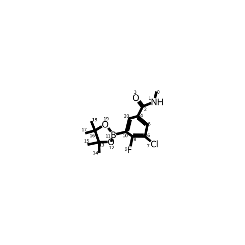 CNC(=O)c1cc(Cl)c(F)c(B2OC(C)(C)C(C)(C)O2)c1